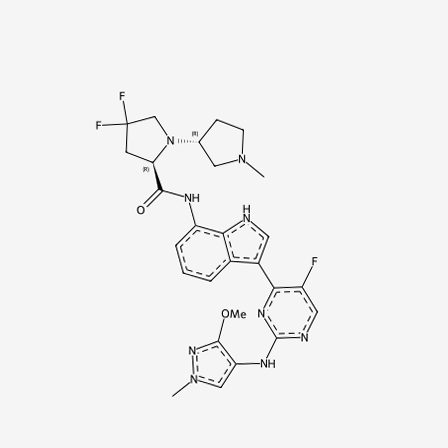 COc1nn(C)cc1Nc1ncc(F)c(-c2c[nH]c3c(NC(=O)[C@H]4CC(F)(F)CN4[C@@H]4CCN(C)C4)cccc23)n1